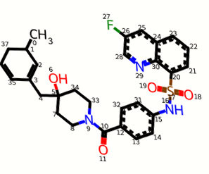 CC1C=C(CC2(O)CCN(C(=O)c3ccc(NS(=O)(=O)c4cccc5cc(F)cnc45)cc3)CC2)C=CC1